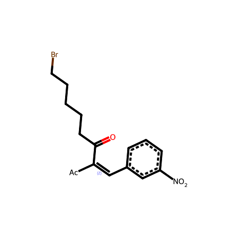 CC(=O)/C(=C/c1cccc([N+](=O)[O-])c1)C(=O)CCCCCBr